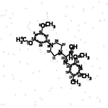 COc1cc(OC)cc(N2CCN(C(=Nc3cc(C)c(C)nc3OC)NO)CC2)c1